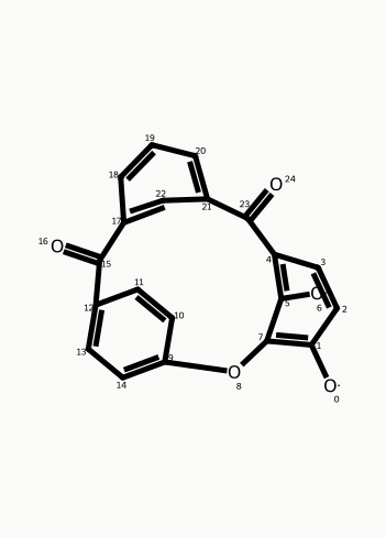 [O]c1ccc2c([O])c1Oc1ccc(cc1)C(=O)c1cccc(c1)C2=O